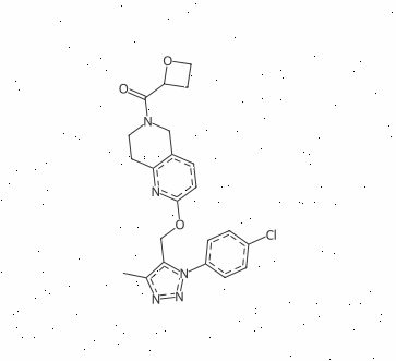 Cc1nnn(-c2ccc(Cl)cc2)c1COc1ccc2c(n1)CCN(C(=O)C1CCO1)C2